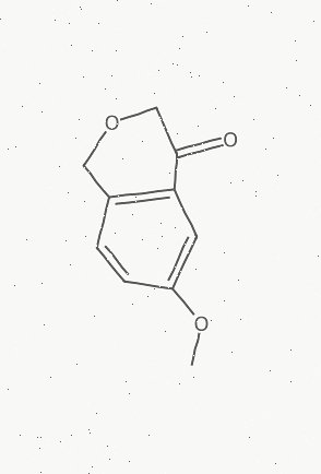 COc1ccc2c(c1)C(=O)COC2